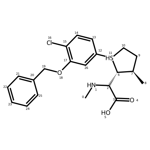 CNC(C(=O)O)[C@H]1[C@H](C)CC[SH]1c1ccc(Cl)c(OCc2ccccc2)c1